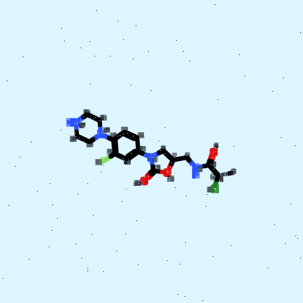 C[C@H](Cl)C(=O)NCC1CN(c2ccc(N3CCNCC3)c(F)c2)C(=O)O1